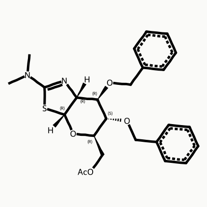 CC(=O)OC[C@H]1O[C@@H]2SC(N(C)C)=N[C@@H]2[C@@H](OCc2ccccc2)[C@@H]1OCc1ccccc1